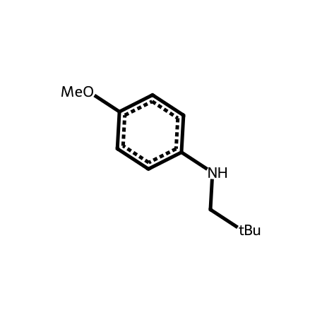 COc1ccc(NCC(C)(C)C)cc1